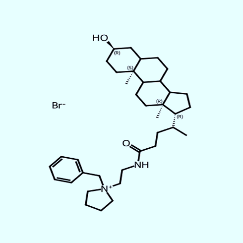 CC(CCC(=O)NCC[N+]1(Cc2ccccc2)CCCC1)[C@H]1CCC2C3CCC4C[C@H](O)CC[C@]4(C)C3CC[C@@]21C.[Br-]